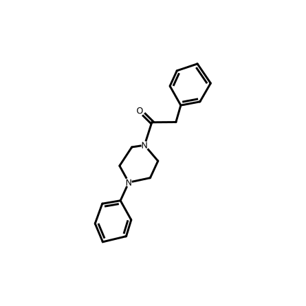 O=C(Cc1ccccc1)N1CCN(c2ccccc2)CC1